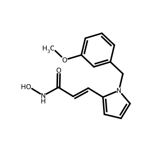 COc1cccc(Cn2cccc2/C=C/C(=O)NO)c1